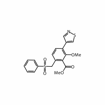 COC(=O)c1c(CS(=O)(=O)c2ccccc2)ccc(-c2cnsc2)c1OC